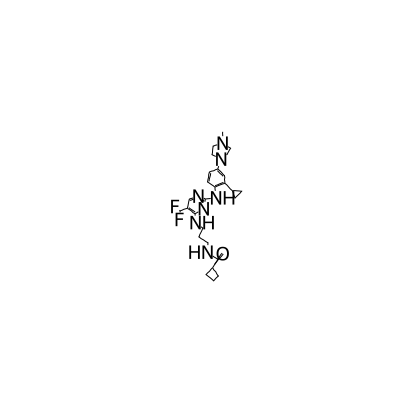 CN1CCN(c2ccc(Nc3ncc(C(F)F)c(NCCCNC(=O)C4CCC4)n3)c(C3CC3)c2)CC1